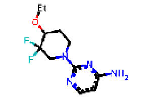 CCOC1CCN(c2nccc(N)n2)CC1(F)F